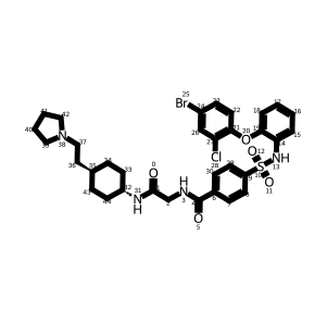 O=C(CNC(=O)c1ccc(S(=O)(=O)Nc2ccccc2Oc2ccc(Br)cc2Cl)cc1)N[C@H]1CC[C@H](CCN2CCCC2)CC1